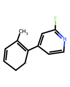 CC1=C(c2ccnc(F)c2)[CH]CC=C1